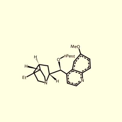 CCCCCO[C@@H](c1ccnc2ccc(OC)cc12)[C@H]1C[C@@H]2CCN1C[C@@H]2CC